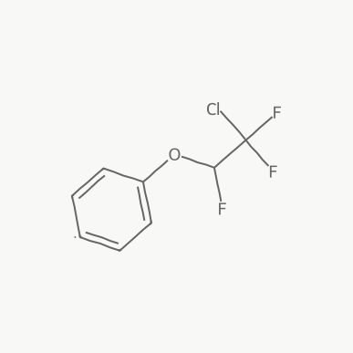 FC(Oc1cc[c]cc1)C(F)(F)Cl